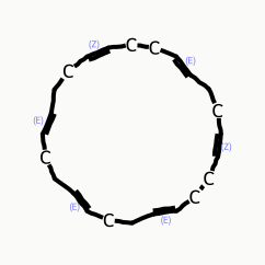 C1=C\CC/C=C/CC/C=C/CC/C=C/CC/C=C\CC/C=C/CC/1